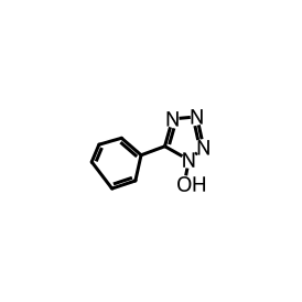 On1nnnc1-c1ccccc1